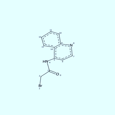 O=C(CBr)Nc1ccnc2ccccc12